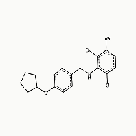 CCCc1ccc(Cl)c(NCc2ccc(SC3CCCC3)cc2)c1CC